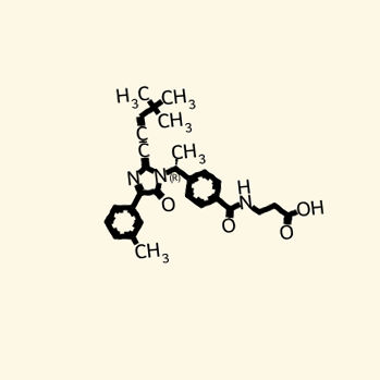 Cc1cccc(C2=NC(=C=C=CC(C)(C)C)N([C@H](C)c3ccc(C(=O)NCCC(=O)O)cc3)C2=O)c1